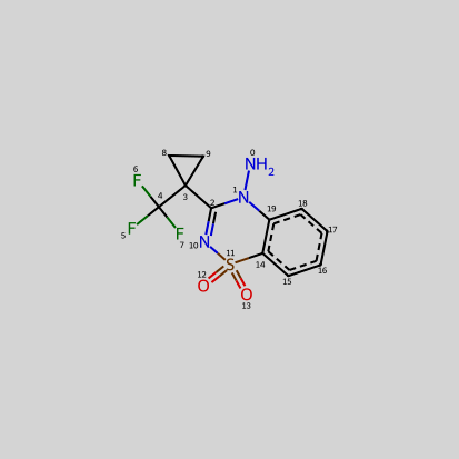 NN1C(C2(C(F)(F)F)CC2)=NS(=O)(=O)c2ccccc21